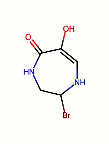 O=C1NCC(Br)NC=C1O